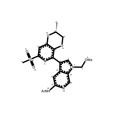 COCn1cc(-c2nc(S(C)(=O)=O)cc3c2OC[C@@H](C)O3)c2cc(NC(C)=O)ncc21